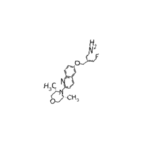 C[C@@H]1COC[C@H](C)N1c1ccc2cc(OC/C(=C/F)CN)ccc2n1